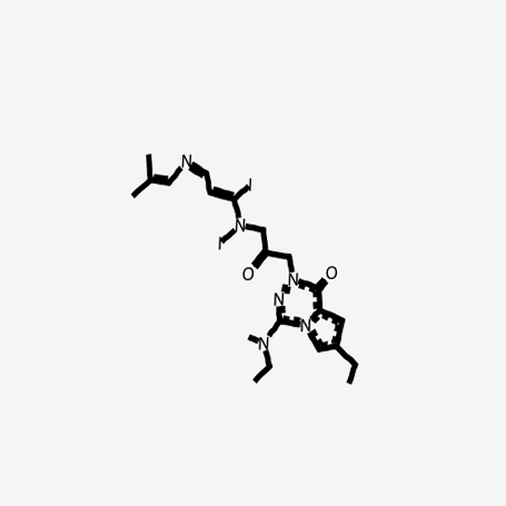 CCc1cc2c(=O)n(CC(=O)CN(I)/C(I)=C/C=N\C=C(C)C)nc(N(C)CC)n2c1